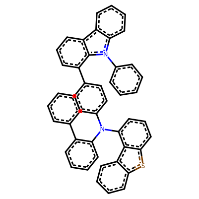 c1ccc(-c2ccccc2N(c2ccc(-c3cccc4c5ccccc5n(-c5ccccc5)c34)cc2)c2cccc3sc4ccccc4c23)cc1